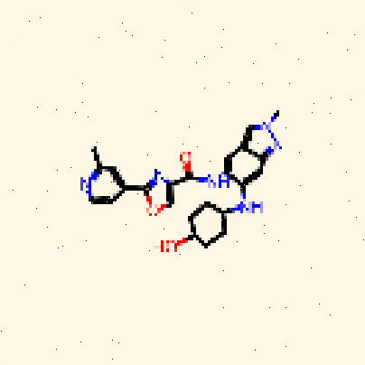 Cc1cc(-c2nc(C(=O)Nc3cc4cn(C)nc4cc3NC3CCC(O)CC3)co2)ccn1